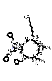 CCCCCCCCCC[C@H]1OC(=O)CNC(=O)[C@H](CN/C(=N\C(=O)OCc2ccccc2)NC(=O)OCc2ccccc2)NC(=O)[C@H](COCc2ccccc2)NC(=O)[C@H]([C@@H](C)CC)NC(=O)[C@H](CC(C)C)N(C)C(=O)[C@@H]1C